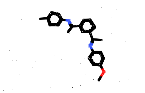 COc1ccc(/N=C(\C)c2cccc(/C(C)=N/c3ccc(C)cc3)c2)cc1